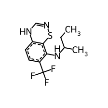 CCC(C)Nc1c(C(F)(F)F)ccc2c1SN=CN2